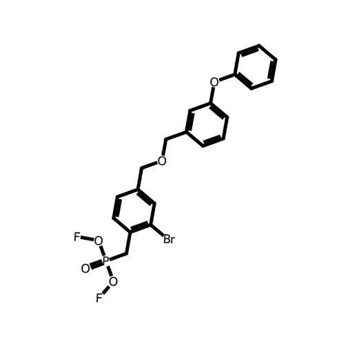 O=P(Cc1ccc(COCc2cccc(Oc3ccccc3)c2)cc1Br)(OF)OF